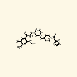 CCOc1cc(N)c(Cl)cc1C(=O)NCC1CN(CC2CCN(C(=O)c3ncc[nH]3)CC2)CCO1